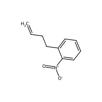 C=CC[CH]c1ccccc1[N+](=O)[O-]